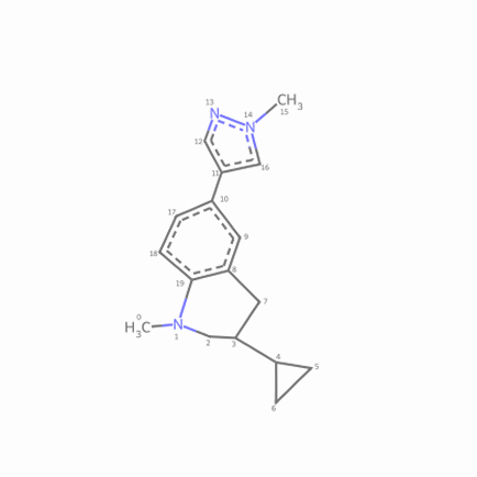 CN1CC(C2CC2)Cc2cc(-c3cnn(C)c3)ccc21